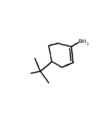 BC1=CCC(C(C)(C)C)CC1